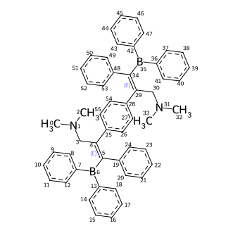 CN(C)C/C(=C(\B(c1ccccc1)c1ccccc1)c1ccccc1)c1ccc(/C(CN(C)C)=C(/B(c2ccccc2)c2ccccc2)c2ccccc2)cc1